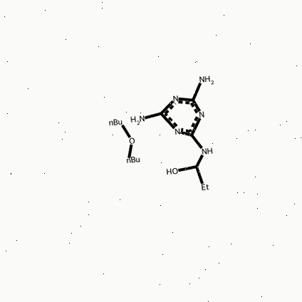 CCC(O)Nc1nc(N)nc(N)n1.CCCCOCCCC